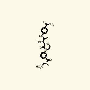 CN(CC(=O)O)C(=O)c1cccc(N2CCO[C@H]([C@@H](O)C(=O)Nc3ccc(C(=N)N)cc3)C2=O)c1